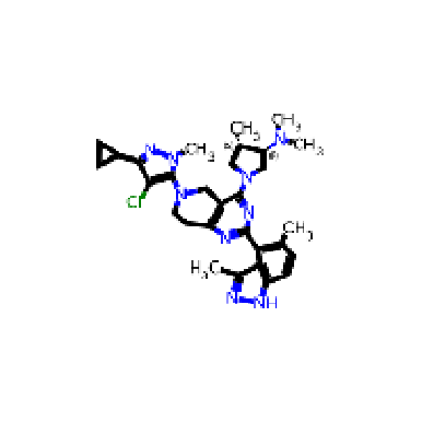 Cc1ccc2[nH]nc(C)c2c1-c1nc2c(c(N3C[C@H](C)[C@@H](N(C)C)C3)n1)CN(c1c(Cl)c(C3CC3)nn1C)CC2